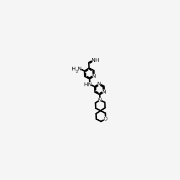 N=Cc1cnc(Nc2cc(N3CCC4(CCCOC4)CC3)ncn2)cc1N